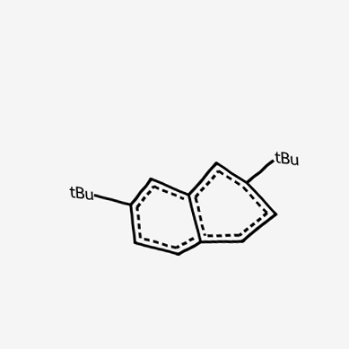 CC(C)(C)c1ccc2ccc(C(C)(C)C)cc2c1